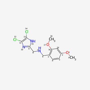 COc1ccc(CNCc2nc(Cl)c(Cl)[nH]2)c(OC)c1